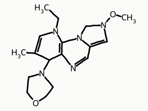 CCN1C=C(C)C(N2CCOCC2)C2=C1N1CN(OC)C=C1C=N2